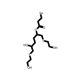 O=C(CCS)OC(CCC(O)CSCCO)CSCCO